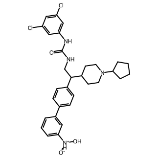 O=C(NCC(c1ccc(-c2cccc([NH+]([O-])O)c2)cc1)C1CCN(C2CCCC2)CC1)Nc1cc(Cl)cc(Cl)c1